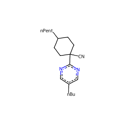 CCCCCC1CCC(C#N)(c2ncc(CCCC)cn2)CC1